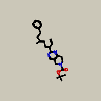 C=C/C(=C\C=C(/C)CCc1ccccc1)c1ncc2c(n1)CCN(C(=O)OC(C)(C)C)C2